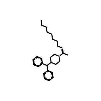 CCCCCCCC/N=C(/C)N1CCC(C(c2ccccc2)c2ccccc2)CC1